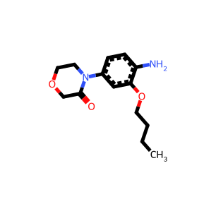 CCCCOc1cc(N2CCOCC2=O)ccc1N